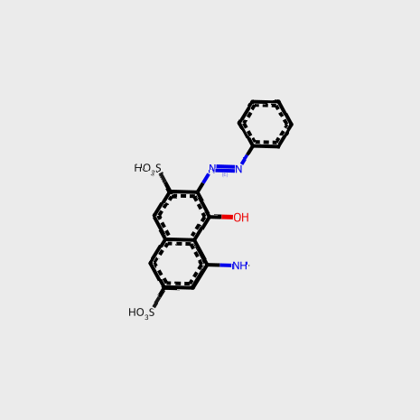 [NH]c1cc(S(=O)(=O)O)cc2cc(S(=O)(=O)O)c(/N=N/c3ccccc3)c(O)c12